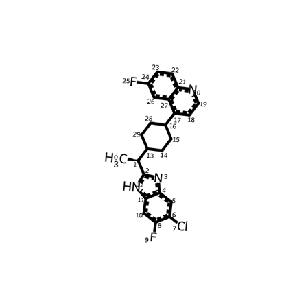 C[C@H](c1nc2cc(Cl)c(F)cc2[nH]1)C1CCC(c2ccnc3ccc(F)cc23)CC1